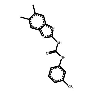 Cc1cc2nc(NC(=O)Nc3cccc(C(F)(F)F)c3)sc2cc1C